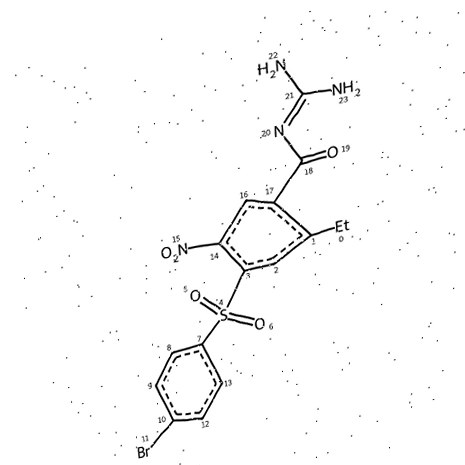 CCc1cc(S(=O)(=O)c2ccc(Br)cc2)c([N+](=O)[O-])cc1C(=O)N=C(N)N